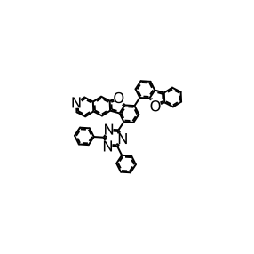 c1ccc(-c2nc(-c3ccccc3)nc(-c3ccc(-c4cccc5c4oc4ccccc45)c4oc5cc6cnccc6cc5c34)n2)cc1